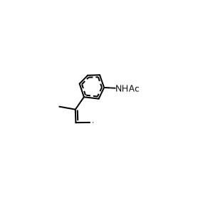 [CH2]/C=C(/C)c1cccc(NC(C)=O)c1